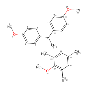 CC(c1ccc(OC#N)cc1)c1ccc(OC#N)cc1.Cc1cc(C)c(OC#N)c(C)c1